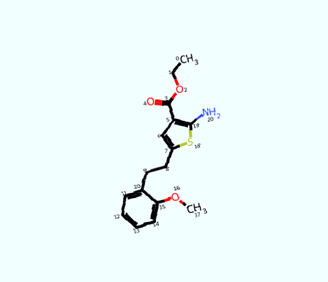 CCOC(=O)c1cc(CCc2ccccc2OC)sc1N